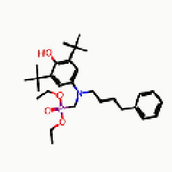 CCOP(=O)(CN(CCCCc1ccccc1)c1cc(C(C)(C)C)c(O)c(C(C)(C)C)c1)OCC